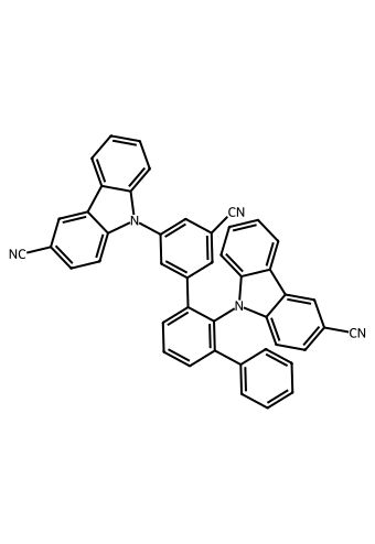 N#Cc1cc(-c2cccc(-c3ccccc3)c2-n2c3ccccc3c3cc(C#N)ccc32)cc(-n2c3ccccc3c3cc(C#N)ccc32)c1